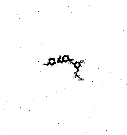 CC(C)(C)OC(=O)NCc1cc(NC(=O)C2CCc3ccc(Oc4ccnc(CI)c4)cc3C2)cc(C(F)(F)F)c1